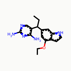 CCOc1cc(C(CC)c2cnc(N)nc2N)cc2[nH]ccc12